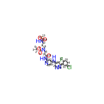 CC(C)(C)OC(=O)N(CCCNS(C)(=O)=O)CCC(=O)Nc1cc(Nc2cnnc(-c3cc(Cl)ccc3F)c2)ccn1